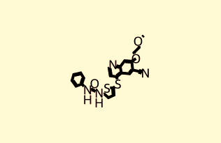 COCCOc1cc2nccc(SC3=CCC(NC(=O)Nc4ccccc4)S3)c2cc1C#N